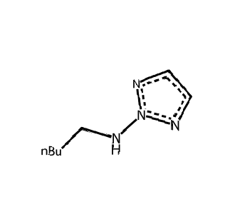 CCCCCNn1nccn1